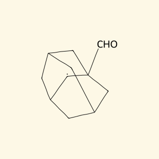 O=CC12[CH]C3CC(CC(C3)C1)C2